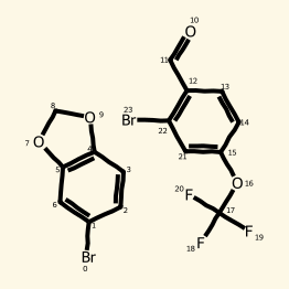 Brc1ccc2c(c1)OCO2.O=Cc1ccc(OC(F)(F)F)cc1Br